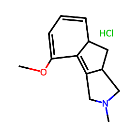 COC1=CC=CC2CC3CN(C)CC3=C12.Cl